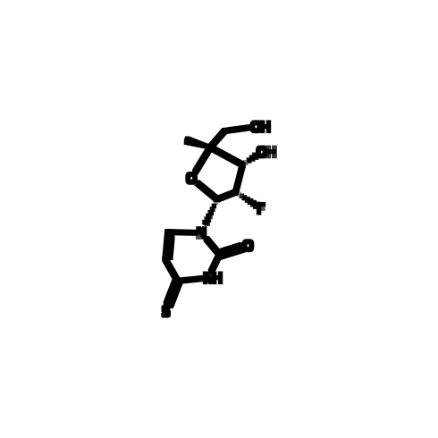 C[C@]1(CO)O[C@@H](n2ccc(=S)[nH]c2=O)[C@@H](F)[C@H]1O